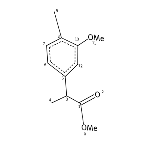 COC(=O)C(C)c1ccc(C)c(OC)c1